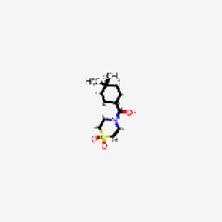 CC1(C)CCC(C(=O)N2CCS(=O)(=O)CC2)CC1